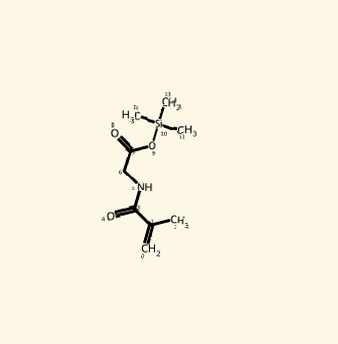 C=C(C)C(=O)NCC(=O)O[Si](C)(C)C